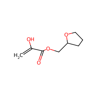 C=C(O)C(=O)OCC1CCCO1